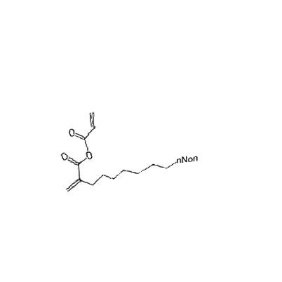 C=CC(=O)OC(=O)C(=C)CCCCCCCCCCCCCCCC